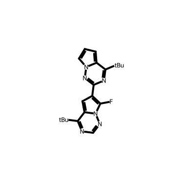 CC(C)(C)c1nc(-c2cc3c(C(C)(C)C)ncnn3c2F)nn2cccc12